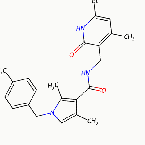 CCc1cc(C)c(CNC(=O)c2c(C)cn(Cc3ccc(C(F)(F)F)cc3)c2C)c(=O)[nH]1